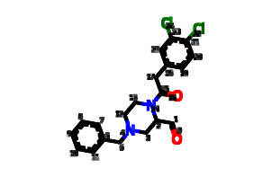 O=CC1CN(Cc2ccccc2)CCN1C(=O)Cc1ccc(Cl)c(Cl)c1